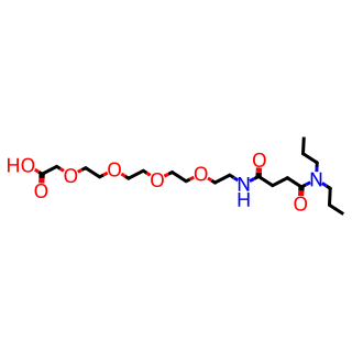 CCCN(CCC)C(=O)CCC(=O)NCCOCCOCCOCCOCC(=O)O